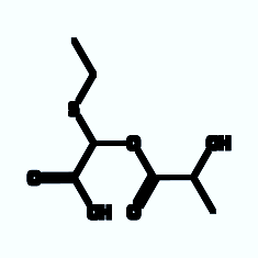 CCSC(OC(=O)C(C)O)C(=O)O